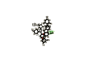 CCCCC1C=C(C(C)(C)C)C=[C]1[Zr+2](=[C](c1ccc(C)cc1)c1ccc(C)cc1)[CH]1c2cc(-c3c(C)cc(C)cc3C)ccc2-c2ccc(-c3c(C)cc(C)cc3C)cc21.[Cl-].[Cl-]